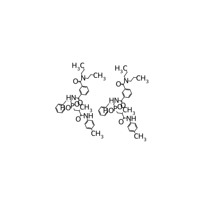 CCCN(CCC)C(=O)c1cccc(C(=O)N[C@@H](Cc2ccccc2)P(=O)(O)CC(C)C(=O)Nc2ccc(C)cc2)c1.CCCN(CCC)C(=O)c1cccc(C(=O)N[C@@H](Cc2ccccc2)P(=O)(O)C[C@@H](C)C(=O)Nc2ccc(C)cc2)c1